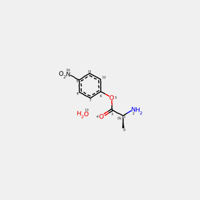 C[C@H](N)C(=O)Oc1ccc([N+](=O)[O-])cc1.O